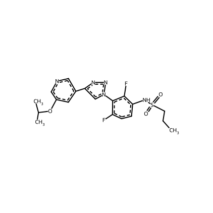 CCCS(=O)(=O)Nc1ccc(F)c(-n2cc(-c3cncc(OC(C)C)c3)nn2)c1F